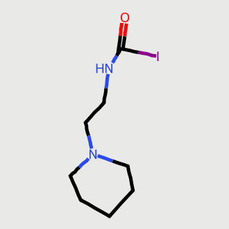 O=C(I)NCCN1CCCCC1